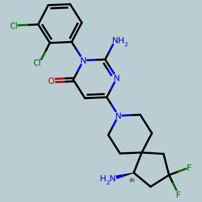 Nc1nc(N2CCC3(CC2)CC(F)(F)C[C@H]3N)cc(=O)n1-c1cccc(Cl)c1Cl